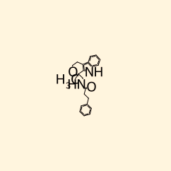 CC1(CNC(=O)CCc2ccccc2)OCCc2c1[nH]c1ccccc21